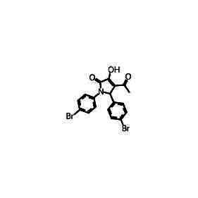 CC(=O)C1=C(O)C(=O)N(c2ccc(Br)cc2)C1c1ccc(Br)cc1